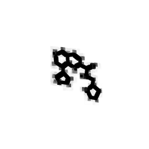 O=C(NCC1CCCO1)c1ccc2cncc(-c3ccsc3)c2n1